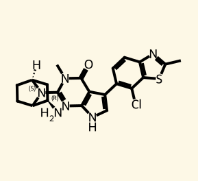 Cc1nc2ccc(-c3c[nH]c4nc(N5C6CC[C@H]5C[C@H]6N)n(C)c(=O)c34)c(Cl)c2s1